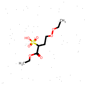 CCOOCCC(C(=O)OCC)S(=O)(=O)O